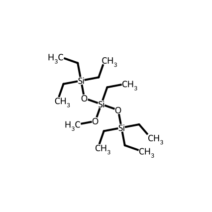 CC[Si](CC)(CC)O[Si](CC)(OC)O[Si](CC)(CC)CC